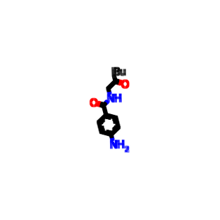 CCC(C)C(=O)CNC(=O)c1ccc(N)cc1